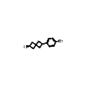 O=C1CC2(C1)CC(c1ccc(Br)cc1)C2